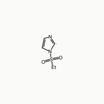 CCS(=O)(=O)n1[c]ncc1